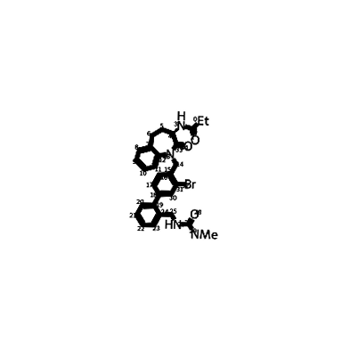 CCC(=O)N[C@@H]1CCc2ccccc2N(Cc2ccc(-c3ccccc3CNC(=O)NC)cc2Br)C1=O